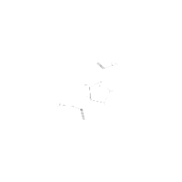 COC(=O)[C@H]1CC[C@@H](C(N)=O)C1